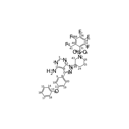 Nc1ncnc2c1c(-c1ccc(Oc3ccccc3)cc1)nn2[C@H]1CCCN(S(=O)(=O)c2c(F)c(F)c(F)c(F)c2CF)C1